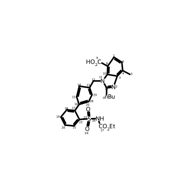 CCCCc1nc2c(C)ccc(C(=O)O)c2n1Cc1ccc(-c2ccccc2S(=O)(=O)NC(=O)OCC)cc1